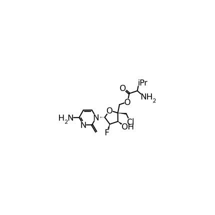 C=C1N=C(N)C=CN1[C@@H]1O[C@](CCl)(COC(=O)C(N)C(C)C)[C@@H](O)[C@H]1F